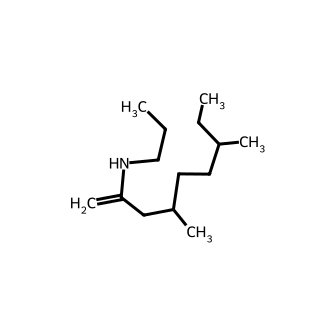 C=C(CC(C)CCC(C)CC)NCCC